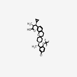 C[C@H](C(=O)O)[C@H](c1ccc2c(c1)OC1(CC2)CCN([C@@H](C)c2cc(Cl)ccc2OC(F)(F)F)CC1)C1CC1